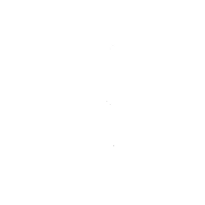 CCOCc1ccc(C(C)(C)C)s1